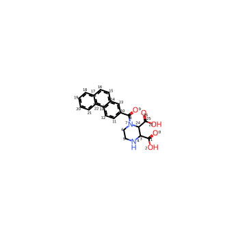 O=C(O)C1NCCN(C(=O)c2ccc3c(ccc4ccccc43)c2)C1C(=O)O